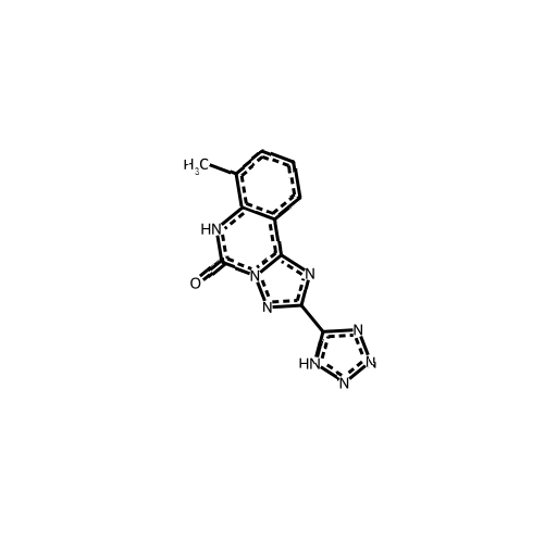 Cc1cccc2c1[nH]c(=O)n1nc(-c3nnn[nH]3)nc21